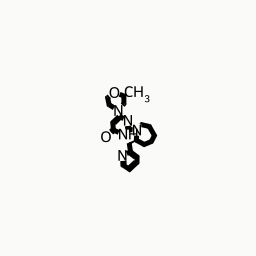 C[C@@H]1CN(c2cc(=O)[nH]c(N3CCCCC[C@H]3Cc3ccccn3)n2)CCO1